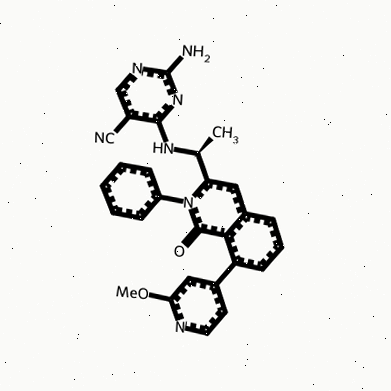 COc1cc(-c2cccc3cc([C@H](C)Nc4nc(N)ncc4C#N)n(-c4ccccc4)c(=O)c23)ccn1